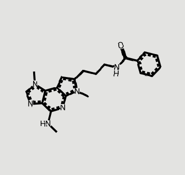 CNc1nc2c(cc(CCCNC(=O)c3ccccc3)n2C)c2c1ncn2C